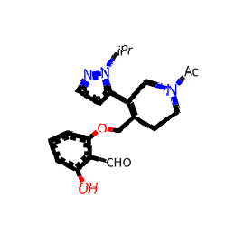 CC(=O)N1CCC(COc2cccc(O)c2C=O)=C(c2ccnn2C(C)C)C1